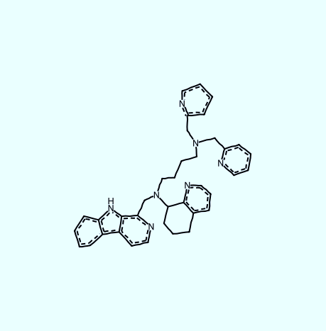 c1ccc(CN(CCCCN(Cc2nccc3c2[nH]c2ccccc23)C2CCCc3cccnc32)Cc2ccccn2)nc1